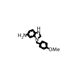 COc1ccc(CN2CNc3ccc(N)cc32)cc1